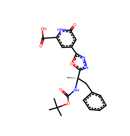 CC(C)(C)OC(=O)N[C@](C)(Cc1ccccc1)c1nnc(-c2cc(C(=O)O)[nH]c(=O)c2)o1